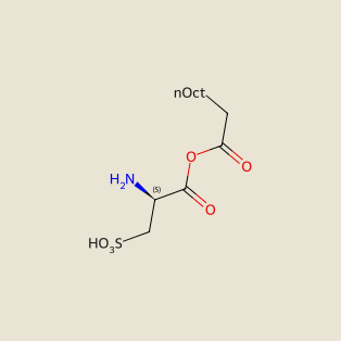 CCCCCCCCCC(=O)OC(=O)[C@H](N)CS(=O)(=O)O